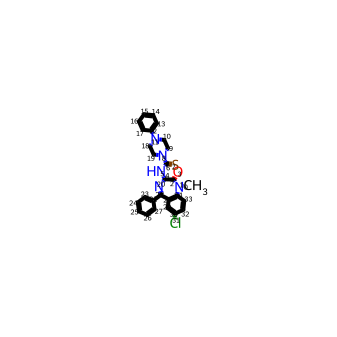 CN1C(=O)C(NC(=S)N2CCN(c3ccccc3)CC2)N=C(c2ccccc2)c2cc(Cl)ccc21